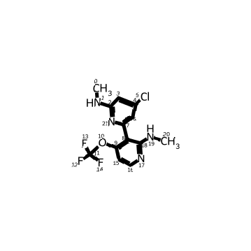 CNc1cc(Cl)cc(-c2c(OC(F)(F)F)ccnc2NC)n1